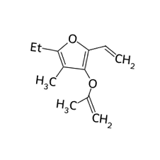 C=Cc1oc(CC)c(C)c1OC(=C)C